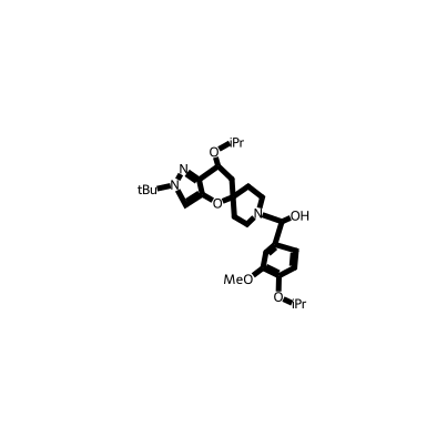 COc1cc(C(O)N2CCC3(CC2)CC(OC(C)C)c2nn(C(C)(C)C)cc2O3)ccc1OC(C)C